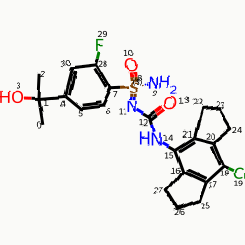 CC(C)(O)c1ccc([S@@](N)(=O)=NC(=O)Nc2c3c(c(Cl)c4c2CCC4)CCC3)c(F)c1